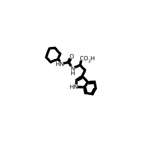 O=C(NC1CCCCC1)NC(Cc1c[nH]c2ccccc12)C(=O)O